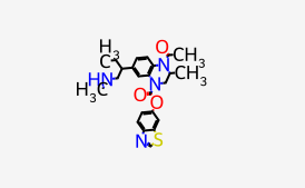 CCC(CNC)c1ccc2c(c1)N(C(=O)Oc1ccc3ncsc3c1)CC(C)N2C(C)=O